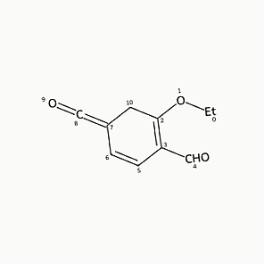 CCOC1=C(C=O)C=CC(=C=O)C1